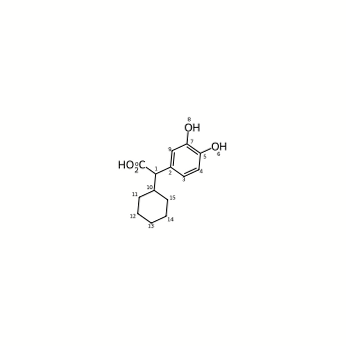 O=C(O)C(c1ccc(O)c(O)c1)C1CCCCC1